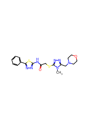 Cn1c(CN2CCOCC2)nnc1SCC(=O)Nc1nnc(-c2ccccc2)s1